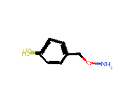 NOCc1ccc(S)cc1